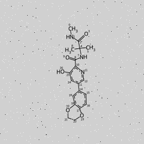 CNC(=O)C(C)(C)NC(=O)c1ncc(-c2ccc3c(c2)OCCO3)cc1O